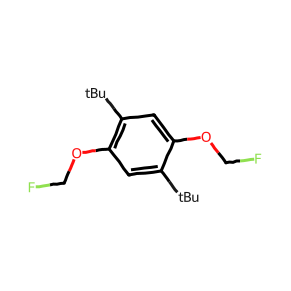 CC(C)(C)c1cc(OCF)c(C(C)(C)C)cc1OCF